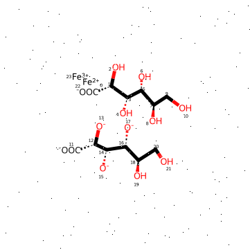 O=C([O-])[C@H](O)[C@@H](O)[C@H](O)[C@H](O)CO.O=C([O-])[C@H]([O-])[C@@H]([O-])[C@H]([O-])[C@H](O)CO.[Fe+2].[Fe+3]